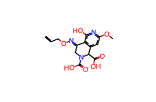 C=CCON=C1CN(C(=O)O)C(C(=O)O)c2cc(OC)nc(O)c21